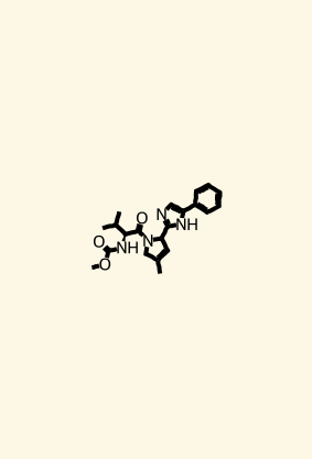 COC(=O)N[C@H](C(=O)N1CC(C)=CC1c1ncc(-c2ccccc2)[nH]1)C(C)C